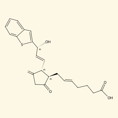 C=C1CC(=O)[C@H](CC=CCCCC(=O)O)[C@H]1C=C[C@@H](O)c1cc2ccccc2s1